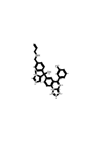 C=CCNCc1ccc(C(O)(c2ccc3c(c2)c(-c2cccc(Cl)c2)nc2nnnn23)c2cncn2C)cc1